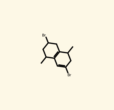 CC1CC(Br)CC2=C1C=C(Br)CC2C